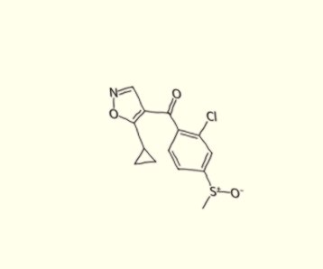 C[S+]([O-])c1ccc(C(=O)c2cnoc2C2CC2)c(Cl)c1